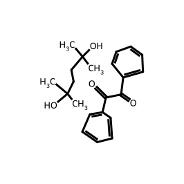 CC(C)(O)CCC(C)(C)O.O=C(C(=O)c1ccccc1)c1ccccc1